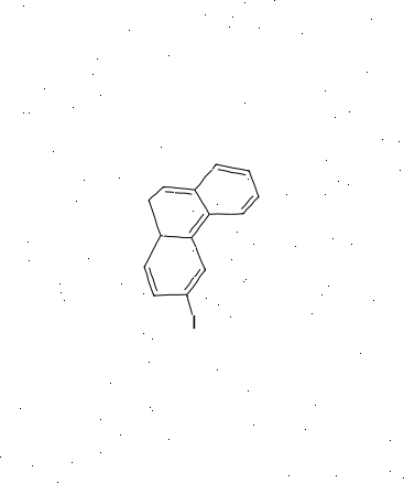 IC1=CC2=c3ccccc3=CCC2C=C1